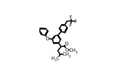 COC(=O)C(CC(C)C)c1cc(Oc2ccccc2)cc(-c2ccc(CC(F)(F)F)cc2)c1